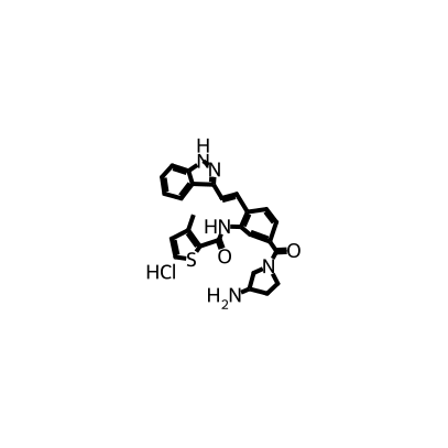 Cc1ccsc1C(=O)Nc1cc(C(=O)N2CCC(N)C2)ccc1/C=C/c1n[nH]c2ccccc12.Cl